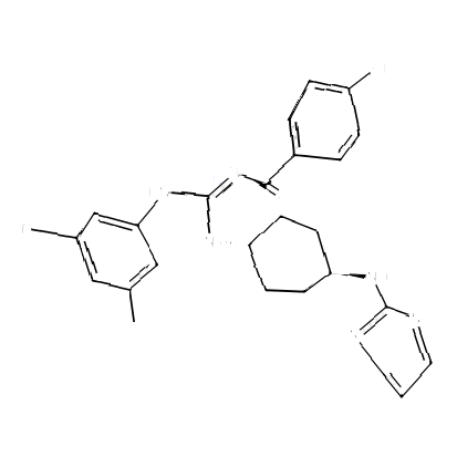 O=C(/N=C(/Nc1cc(F)cc(Cl)c1)N[C@H]1CC[C@H](Nc2ncccn2)CC1)c1ccc(C(F)(F)F)cc1